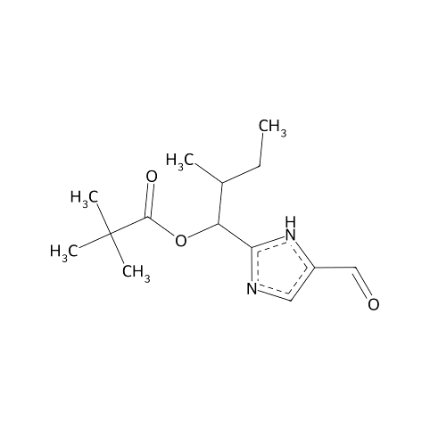 CCC(C)C(OC(=O)C(C)(C)C)c1ncc(C=O)[nH]1